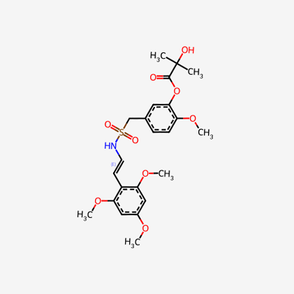 COc1cc(OC)c(/C=C/NS(=O)(=O)Cc2ccc(OC)c(OC(=O)C(C)(C)O)c2)c(OC)c1